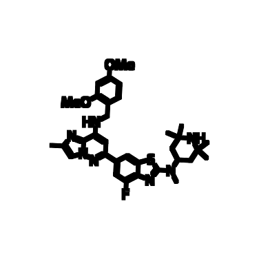 COc1ccc(CNc2cc(-c3cc(F)c4nc(N(C)C5CC(C)(C)NC(C)(C)C5)sc4c3)nn3cc(C)nc23)c(OC)c1